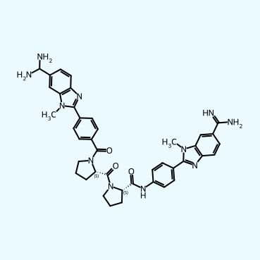 Cn1c(-c2ccc(NC(=O)[C@@H]3CCCN3C(=O)[C@@H]3CCCN3C(=O)c3ccc(-c4nc5ccc(C(N)N)cc5n4C)cc3)cc2)nc2ccc(C(=N)N)cc21